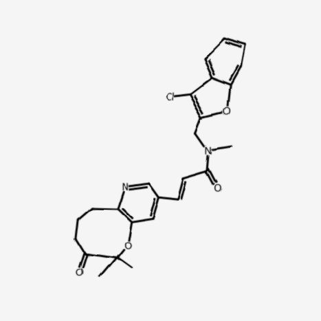 CN(Cc1oc2ccccc2c1Cl)C(=O)/C=C/c1cnc2c(c1)OC(C)(C)C(=O)CCC2